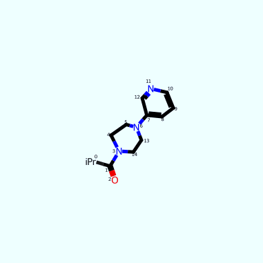 CC(C)C(=O)N1CCN(c2cccnc2)CC1